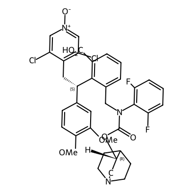 COc1ccc([C@H](Cc2c(Cl)c[n+]([O-])cc2Cl)c2c(CN(C(=O)O[C@H]3CN4CCC3CC4)c3c(F)cccc3F)cccc2C(=O)O)cc1OC